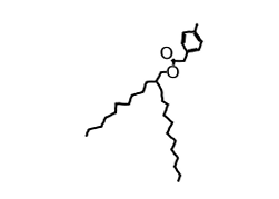 CCCCCCCCCCCCC(CCCCCCCCCC)COC(=O)Cc1ccc(C)cc1